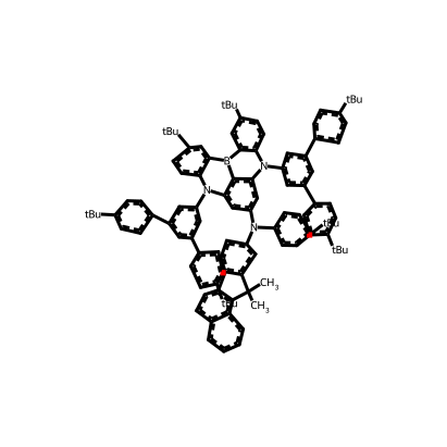 CC(C)(C)c1ccc(-c2cc(-c3ccc(C(C)(C)C)cc3)cc(N3c4ccc(C(C)(C)C)cc4B4c5cc(C(C)(C)C)ccc5N(c5cc(-c6ccc(C(C)(C)C)cc6)cc(-c6ccc(C(C)(C)C)cc6)c5)c5cc(N(c6ccc(C(C)(C)C)cc6)c6ccc7c(c6)C(C)(C)c6c-7ccc7ccccc67)cc3c54)c2)cc1